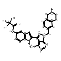 Nc1ncnc2c1c(-c1cc3cc(OC(=O)C(F)(F)F)ccc3[nH]1)nn2Cc1ccc2c(c1)CCNC2